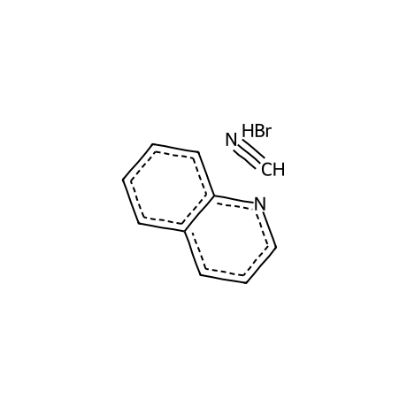 Br.C#N.c1ccc2ncccc2c1